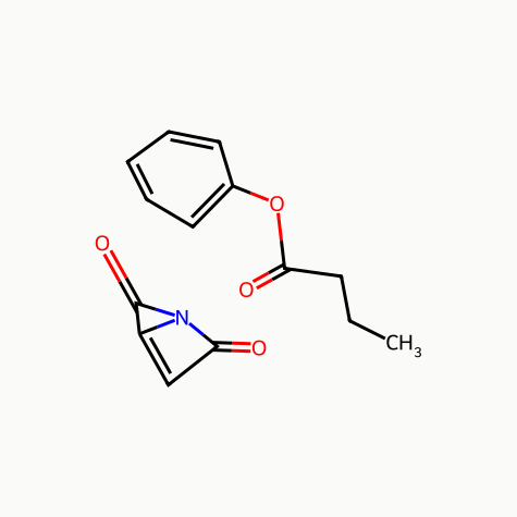 CCCC(=O)Oc1ccccc1.O=C1C=C2C(=O)N12